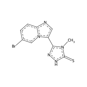 Cn1c(-c2cnc3ccc(Br)cn23)n[nH]c1=S